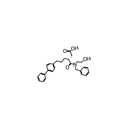 O=C(O)C[C@@H](CCCc1ccc(-c2ccccc2)cc1)C(=O)N(CCO)Cc1ccccc1